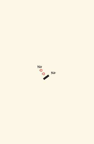 C=C.[Na].[Na].[O].[O]